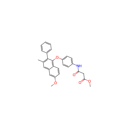 COC(=O)CC(=O)Nc1ccc(Oc2c(-c3ccccc3)c(C)cc3cc(OC)ccc23)cc1